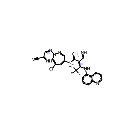 C=C(NC1=CC(Cl)=CN(/N=C\C(=N)C#N)N=C1)/C(C=N)=C(/Nc1cccc2ncccc12)C(F)(F)F